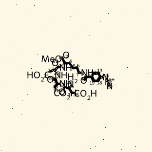 COC(=O)C(CCCCNC(=O)c1ccc(N=[N+]=[N-])cc1)NC(=O)C(CC(=O)O)NC(=O)C(CC(=O)O)NC(=O)C(N)CC(=O)O